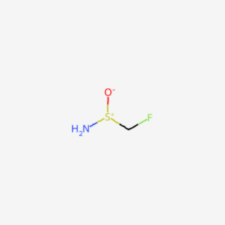 N[S+]([O-])CF